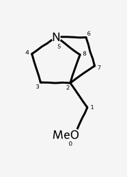 COCC12CCN(CC1)C2